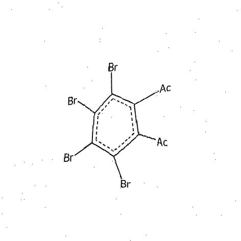 CC(=O)c1c(Br)c(Br)c(Br)c(Br)c1C(C)=O